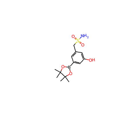 CC1(C)OB(c2cc(O)cc(CS(N)(=O)=O)c2)OC1(C)C